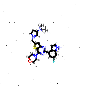 CN(C)C1CCN(Cc2cc3nc(-c4cc(F)cc5[nH]ccc45)nc(N4CCOCC4)c3s2)C1